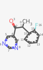 CC(C(=O)c1cncnc1)c1ccccc1F